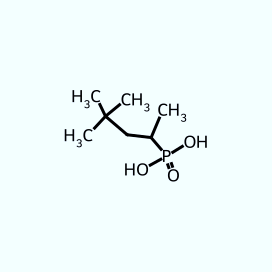 CC(CC(C)(C)C)P(=O)(O)O